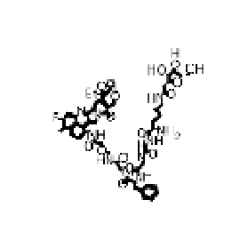 CC[C@@]1(O)C(=O)OCc2c1cc1n(c2=O)Cc2c-1nc1cc(F)c(C)c3c1c2[C@@H](NC(=O)COCNC(=O)CNC(=O)[C@H](Cc1ccccc1)NC(=O)CNC(=O)CNC(=O)[C@@H](N)CCCCNC(=O)C[C@@H]1O[C@H](CO)[C@@H](O)[C@H]1O)CC3